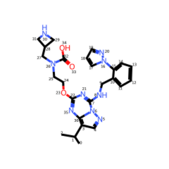 CC(C)c1cnn2c(NCc3ccccc3-n3cccn3)nc(OCCN(CC3CNC3)C(=O)O)nc12